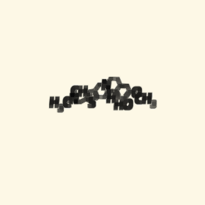 COc1cc2c(cc1O)[C@@H]1Cc3sc(CN(C)C)cc3CN1CC2